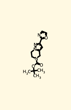 CC(C)(C)OC(=O)N1CCn2nc(-c3ncco3)cc2C1